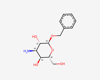 N[C@H]1[C@H](O)[C@@H](OCc2ccccc2)O[C@H](CO)[C@H]1O